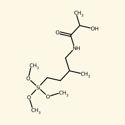 CO[Si](CCC(C)CNC(=O)C(C)O)(OC)OC